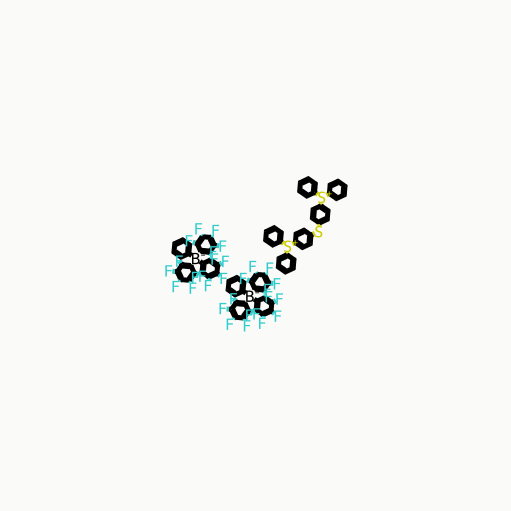 Fc1c(F)c(F)c([B-](c2ccccc2)(c2c(F)c(F)c(F)c(F)c2F)c2c(F)c(F)c(F)c(F)c2F)c(F)c1F.Fc1c(F)c(F)c([B-](c2ccccc2)(c2c(F)c(F)c(F)c(F)c2F)c2c(F)c(F)c(F)c(F)c2F)c(F)c1F.c1ccc([S+](c2ccccc2)c2ccc(Sc3ccc([S+](c4ccccc4)c4ccccc4)cc3)cc2)cc1